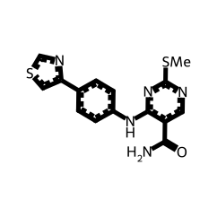 CSc1ncc(C(N)=O)c(Nc2ccc(-c3cscn3)cc2)n1